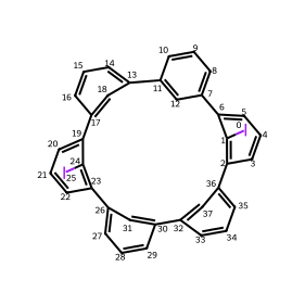 Ic1c2cccc1c1cccc(c1)c1cccc(c1)c1cccc(c1I)c1cccc(c1)c1cccc2c1